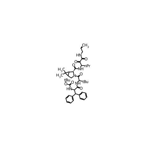 C=CCNC(=O)C(=O)C(CCC)NC(=O)[C@@H]1C2C(CN1C(=O)C(NC(=O)C(NC(=O)OC(C)(C)C)C(c1ccccc1)c1ccccc1)C(C)(C)C)C2(C)C